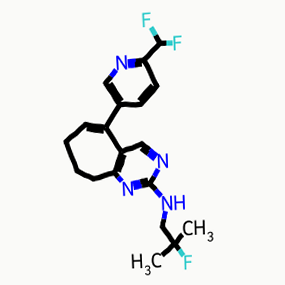 CC(C)(F)CNc1ncc2c(n1)CCCC=C2c1ccc(C(F)F)nc1